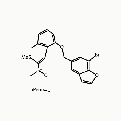 CCCCCC.CSC(=Cc1c(C)cccc1OCc1cc(Br)c2occc2c1)[S+](C)[O-]